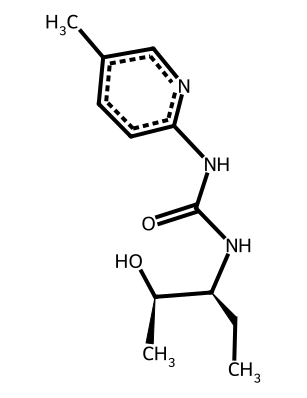 CC[C@H](NC(=O)Nc1ccc(C)cn1)[C@@H](C)O